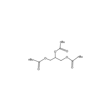 CCCCC(=O)OCC(COC(=O)CCCC)OC(=O)CCCC